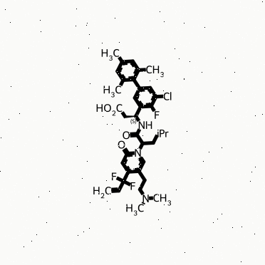 C=CC(F)(F)c1cc(=O)n(C(CC(C)C)C(=O)N[C@@H](CC(=O)O)c2cc(-c3c(C)cc(C)cc3C)cc(Cl)c2F)cc1CCN(C)C